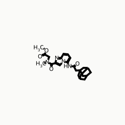 COC(=O)CN(C)C(=O)c1cn2c(NC(=O)CC34CC5CC(CC(C5)C3)C4)cccc2n1